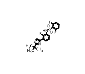 CC(C)(C)c1nc(-c2cccc(NS(=O)(=O)c3c(F)cccc3F)c2F)cs1